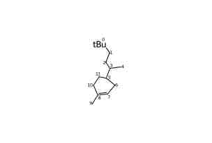 [CH2]C(C)(C)CCC(C)C1CC=C(C)CC1